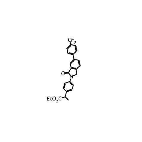 CCOC(=O)C(C)c1ccc(N2Cc3ccc(-c4ccc(C(F)(F)F)cc4)cc3C2=O)cc1